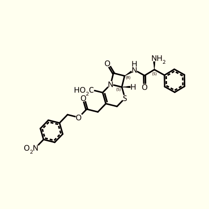 N[C@H](C(=O)N[C@@H]1C(=O)N2C(C(=O)O)=C(CC(=O)OCc3ccc([N+](=O)[O-])cc3)CS[C@@H]12)c1ccccc1